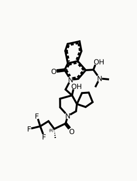 C[C@H](CC(F)(F)F)C(=O)N1CCC(O)(Cn2cc(C(O)N(C)C)c3ccccc3c2=O)C2(CCCC2)C1